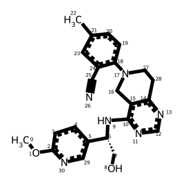 COc1ccc([C@@H](CO)Nc2ncnc3c2CN(c2ccc(C)cc2C#N)CC3)cn1